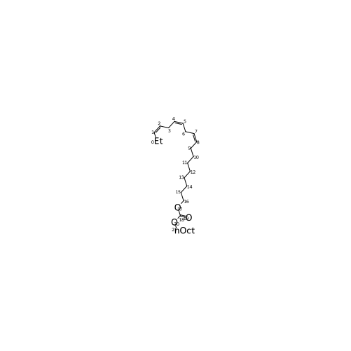 CC/C=C\C/C=C\C/C=C\CCCCCCCCOC(=O)OCCCCCCCC